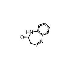 O=C1C[C]=Nc2ccccc2N1